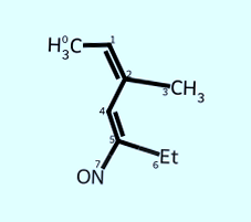 C/C=C(C)\C=C(/CC)N=O